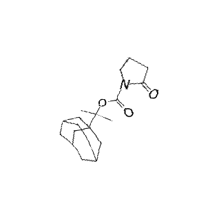 CC(C)(OC(=O)N1CCCC1=O)C12CC3CC(CC(C3)C1)C2